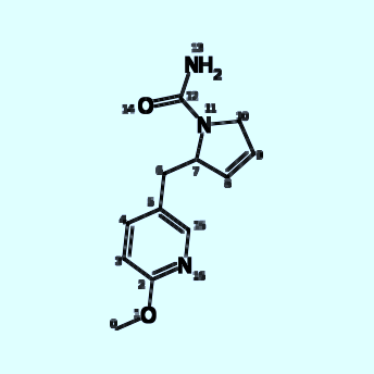 COc1ccc(CC2C=CCN2C(N)=O)cn1